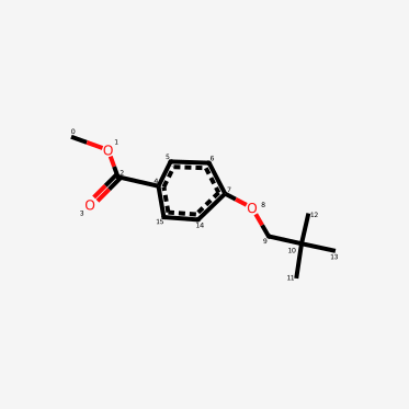 COC(=O)c1ccc(OCC(C)(C)C)cc1